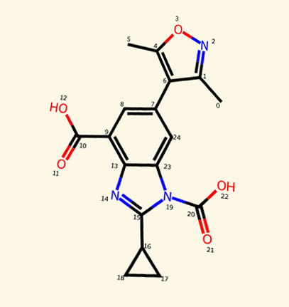 Cc1noc(C)c1-c1cc(C(=O)O)c2nc(C3CC3)n(C(=O)O)c2c1